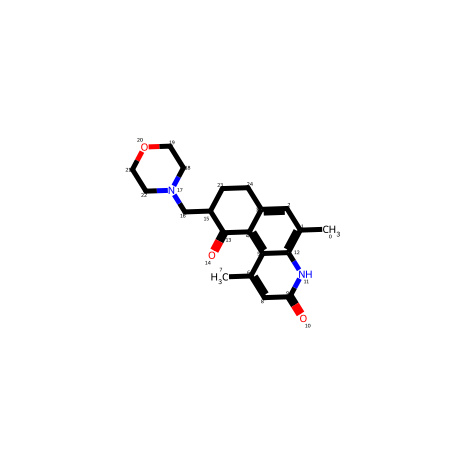 Cc1cc2c(c3c(C)cc(=O)[nH]c13)C(=O)C(CN1CCOCC1)CC2